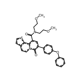 COCCN(CCOC)C(=O)c1cc(-c2ccc(Oc3ccccc3)cc2)c(=O)n2ccc3ccsc3c12